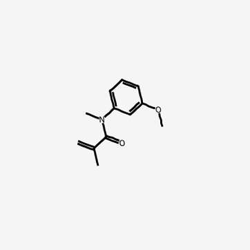 C=C(C)C(=O)N(C)c1cccc(OC)c1